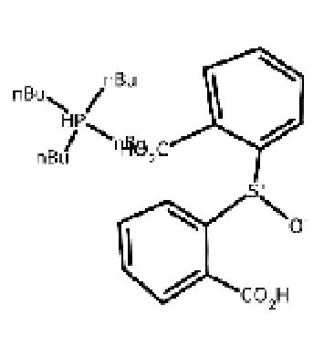 CCCC[PH](CCCC)(CCCC)CCCC.O=C(O)c1ccccc1[S+]([O-])c1ccccc1C(=O)O